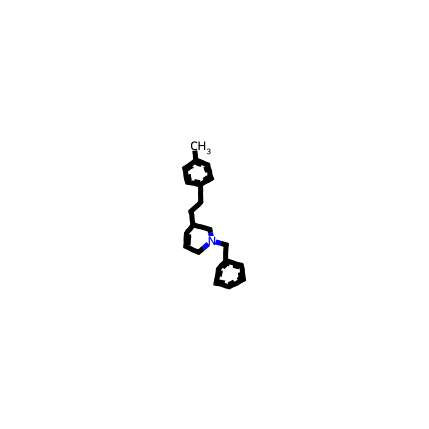 Cc1ccc(CCC2C=CCN(Cc3ccccc3)C2)cc1